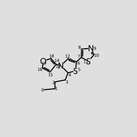 CCCCC1SC(c2cncs2)=[C]N1c1ccoc1